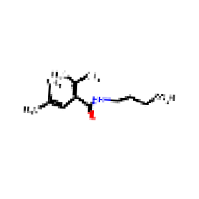 CC(C)=CC(C(=O)NCCCS(=O)(=O)O)=C(C)C